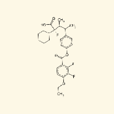 CCOc1ccc(C(=O)Oc2ccc(C(C)[C@H](C)[C@](F)(C(=O)O)C3CCCCC3)cc2)c(F)c1F